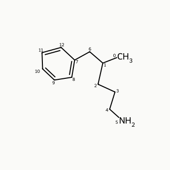 CC(CCCN)Cc1ccccc1